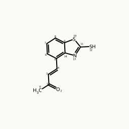 CC(=O)C=Cc1cccc2sc(S)nc12